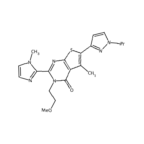 COCCn1c(-c2nccn2C)nc2sc(-c3ccn(C(C)C)n3)c(C)c2c1=O